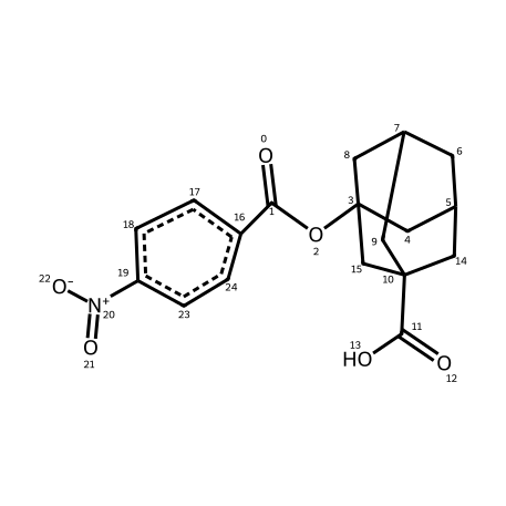 O=C(OC12CC3CC(C1)CC(C(=O)O)(C3)C2)c1ccc([N+](=O)[O-])cc1